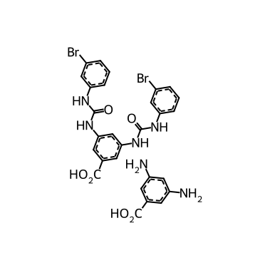 Nc1cc(N)cc(C(=O)O)c1.O=C(Nc1cccc(Br)c1)Nc1cc(NC(=O)Nc2cccc(Br)c2)cc(C(=O)O)c1